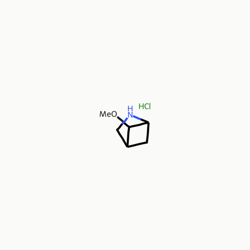 COC1C2CNC1C2.Cl